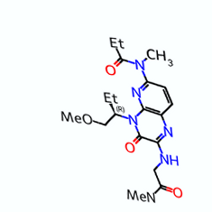 CCC(=O)N(C)c1ccc2nc(NCC(=O)NC)c(=O)n([C@H](CC)COC)c2n1